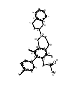 Cc1ccc(-c2c(C)c3c(c(C)c2CC(=O)O)CCN(C2CCc4ccccc4C2)C3)cc1